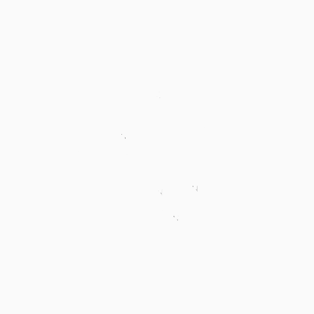 c1ccc(-c2nc(-c3ccccc3)nc(-c3cc4c5ccccc5c5ccccc5c4cc3-c3cccc4c5ccccc5n(-c5ccccc5)c34)n2)cc1